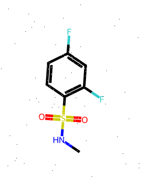 CNS(=O)(=O)c1ccc(F)cc1F